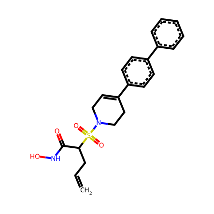 C=CCC(C(=O)NO)S(=O)(=O)N1CC=C(c2ccc(-c3ccccc3)cc2)CC1